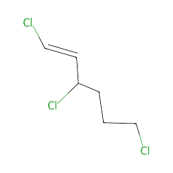 ClC=CC(Cl)CCCCl